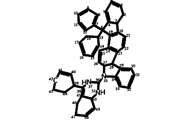 C1=CCC2C(=C1)C(c1ccccc1)(C1C=CC=CC1)c1c2ccc2c1C=CC1C2c2ccccc2N1C1NC(C2C=CCCC2)=C2CCC=CC2N1